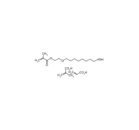 C=C(C)C(=O)O.C=C(C)C(=O)OCCOCCCCCCCCCCCCCCCCCC.C=CC(=O)O